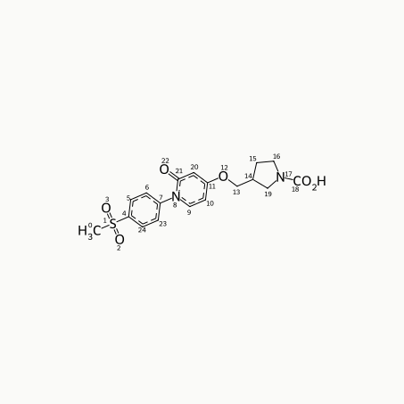 CS(=O)(=O)c1ccc(-n2ccc(OCC3CCN(C(=O)O)C3)cc2=O)cc1